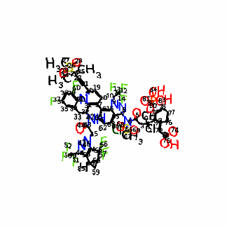 CC(C)(CC(=O)N(c1nn(CC(F)(F)F)c2c(-c3ccc(C#CC(C)(C)S(C)(=O)=O)nc3[C@H](Cc3cc(F)cc(F)c3)NC(=O)Cn3nc(C(F)(F)F)c4c3C(F)(F)C3C[C@H]43)ccc(Cl)c12)S(C)(=O)=O)c1c(CC(=O)O)cccc1OP(=O)(O)O